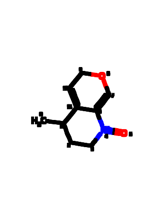 CC1CC[N+](=O)C2=COCC=C21